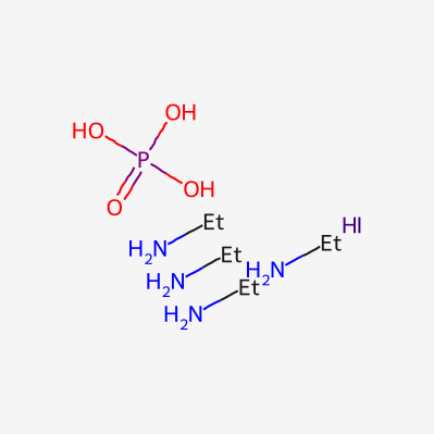 CCN.CCN.CCN.CCN.I.O=P(O)(O)O